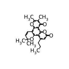 CCCc1cc(=O)oc2c1c1c(c3oc(C)c(C)c(=O)c32)C=CC(C)(C)O1